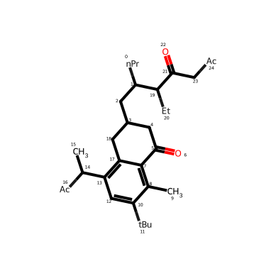 CCCC(CC1CC(=O)c2c(C)c(C(C)(C)C)cc(C(C)C(C)=O)c2C1)C(CC)C(=O)CC(C)=O